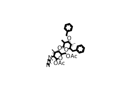 CC(=O)OCC1OC(OC(C)=O)C(N=[N+]=[N-])[C@@H](C)[C@@H]1O[C@@H]1OC(Cc2ccccc2)[C@@H](C)[C@@H](OCc2ccccc2)C1C